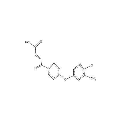 Cc1cc(Oc2ccc(C(=O)C=CC(=O)O)cc2)ccc1Cl